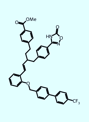 COC(=O)c1ccc(CCC(C=Cc2ccccc2OCc2ccc(-c3ccc(C(F)(F)F)cc3)cc2)Cc2ccc(-c3noc(=O)[nH]3)cc2)cc1